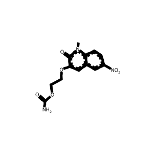 Cn1c(=O)c(OCCOC(N)=O)cc2cc([N+](=O)[O-])ccc21